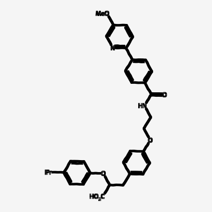 COc1ccc(-c2ccc(C(=O)NCCOc3ccc(CC(Oc4ccc(C(C)C)cc4)C(=O)O)cc3)cc2)nc1